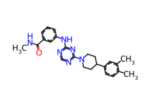 CNC(=O)c1cccc(Nc2ncnc(N3CCC(c4ccc(C)c(C)c4)CC3)n2)c1